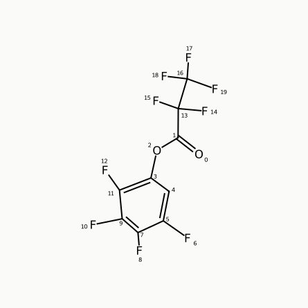 O=C(Oc1cc(F)c(F)c(F)c1F)C(F)(F)C(F)(F)F